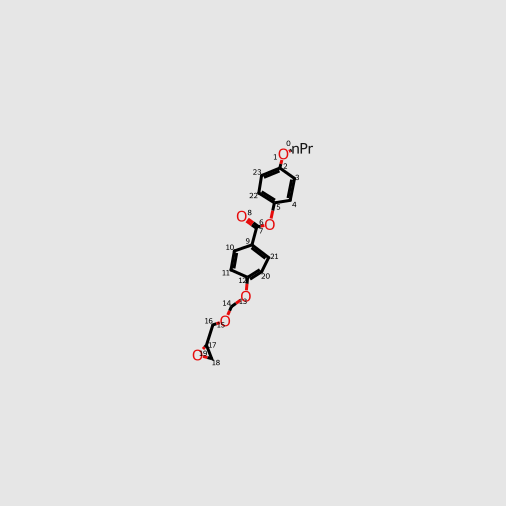 CCCOc1ccc(OC(=O)c2ccc(OCOCC3CO3)cc2)cc1